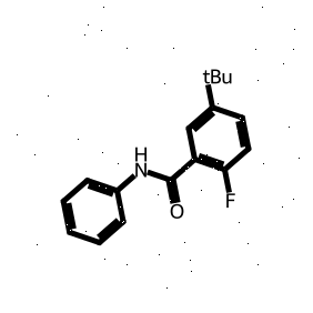 CC(C)(C)c1ccc(F)c(C(=O)Nc2ccccc2)c1